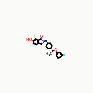 CC(Oc1cccc(F)c1)[C@H]1CC[C@H](CN2Cc3cc(F)c(O)c(F)c3C2=O)CC1